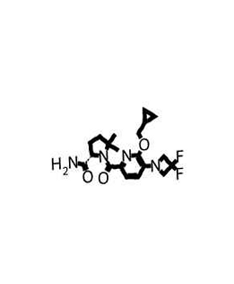 CC1(C)CC[C@@H](C(N)=O)N1C(=O)c1ccc(N2CC(F)(F)C2)c(OCC2CC2)n1